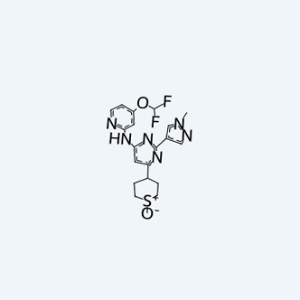 Cn1cc(-c2nc(Nc3cc(OC(F)F)ccn3)cc(C3CC[S+]([O-])CC3)n2)cn1